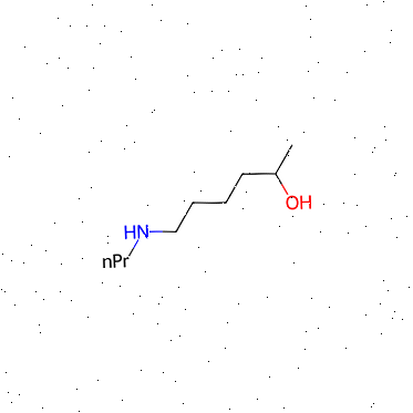 CCCNCCCCC(C)O